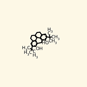 CC(C)(C)c1cc2c3c(c1O)Cc1c(O)c(C(C)(C)C)cc4c1C3=C(CC2)CC4